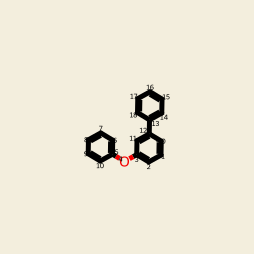 [c]1ccc(Oc2ccccc2)cc1-c1ccccc1